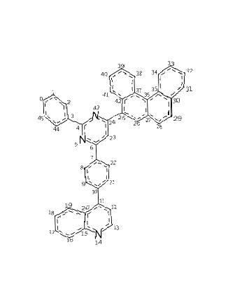 c1ccc(-c2nc(-c3ccc(-c4ccnc5ccccc45)cc3)cc(-c3cc4ccc5ccccc5c4c4ccccc34)n2)cc1